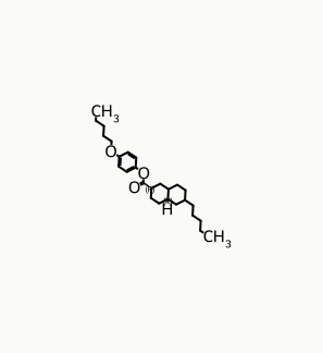 CCCCCOc1ccc(OC(=O)[C@@H]2CC[C@@H]3CC(CCCCC)CCC3C2)cc1